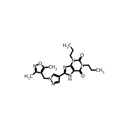 CCCn1c(=O)c2[nH]c(-c3cnn(Cc4c(C)noc4C)c3)nc2n(CCC)c1=O